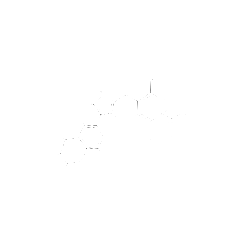 Cc1cc(Cc2nc(-c3ccc4c(c3)CCCC4)cs2)c(Br)cc1[N+](=O)[O-]